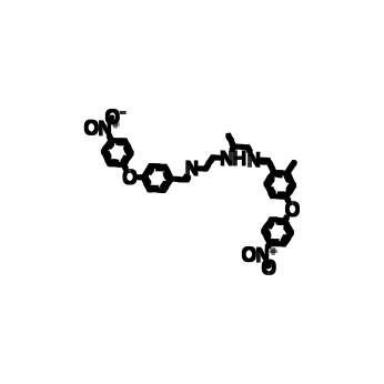 Cc1cc(Oc2ccc([N+](=O)[O-])cc2)ccc1C=NCC(C)NCCN=Cc1ccc(Oc2ccc([N+](=O)[O-])cc2)cc1